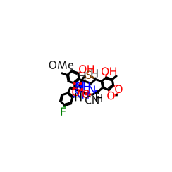 COc1c(C)cc2c(c1O)[C@@H]1C3[C@@H]4SC[C@]5(NCCc6c5[nH]c5cc(F)ccc65)C(=O)OC[C@@H](c5c6c(c(C)c(O)c54)OCO6)N3[C@@H](C#N)[C@@H](C2)N1C